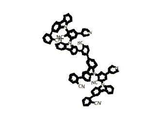 N#Cc1ccccc1-c1ccc2c(c1)c1ccccc1n2-c1cc(-c2ccncc2)cc(-n2c3ccc(-c4ccc(C#N)c(-c5ccc6c7ccccc7n(-c7cc(-c8ccncc8)cc(-n8c9ccccc9c9ccc(-c%10ccccc%10C#N)cc98)c7C#N)c6c5)c4)cc3c3cc(-c4ccccc4C#N)ccc32)c1C#N